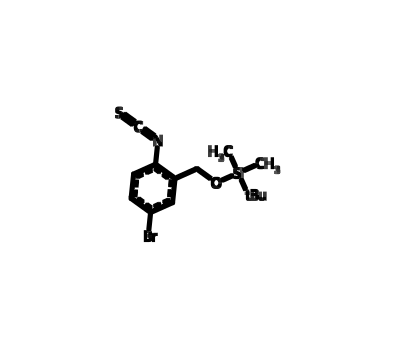 CC(C)(C)[Si](C)(C)OCc1cc(Br)ccc1N=C=S